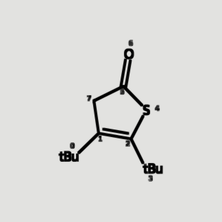 CC(C)(C)C1=C(C(C)(C)C)SC(=O)C1